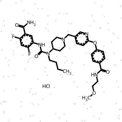 CCCCN(C(=O)Nc1cc(C(N)=O)c(F)cc1F)C1CCN(Cc2ccc(Oc3ccc(C(=O)NCCOC)cc3)nc2)CC1.Cl